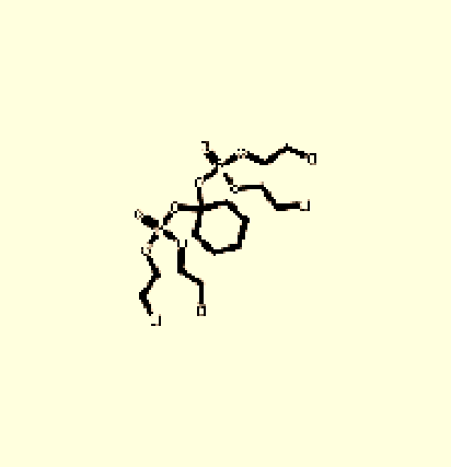 O=P(OCCCl)(OCCCl)OC1(OP(=O)(OCCCl)OCCCl)CCCCC1